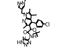 Cc1nc2c(c(C)c(C)n2Cc2cnn(C)c2)c(-c2ccc(Cl)cc2)c1[C@H](OC(C)(C)C)C(=O)Nc1nn[nH]n1